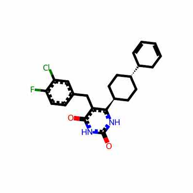 O=c1[nH]c(=O)c(Cc2ccc(F)c(Cl)c2)c([C@H]2CC[C@H](C3C=CC=CC3)CC2)[nH]1